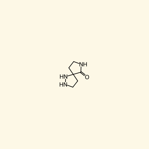 O=C1NCCC12CCNN2